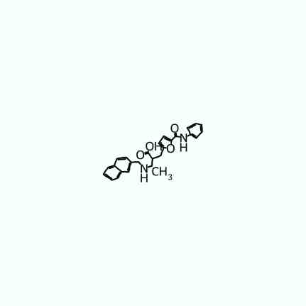 CC(NCc1ccc2ccccc2c1)C(Cc1ccc(C(=O)Nc2ccccc2)o1)C(=O)O